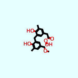 COCc1cc(C)c(O)c(Cc2cc(CC(=O)OO)cc(C)c2O)c1